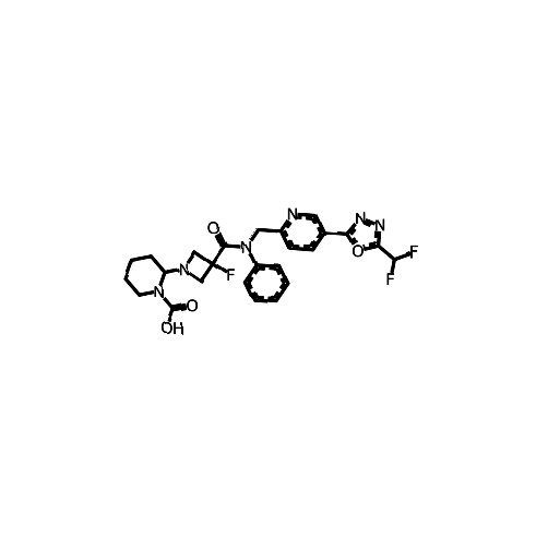 O=C(O)N1CCCCC1N1CC(F)(C(=O)N(Cc2ccc(-c3nnc(C(F)F)o3)cn2)c2ccccc2)C1